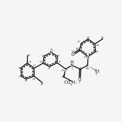 CC[C@H](C(=O)N[C@@H](CC(=O)O)c1cncc(-c2c(C)cccc2C)c1)n1cc(C)ccc1=O